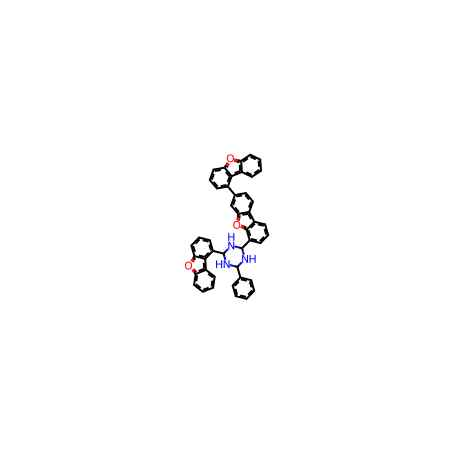 c1ccc(C2NC(c3cccc4c3oc3cc(-c5cccc6oc7ccccc7c56)ccc34)NC(c3cccc4oc5ccccc5c34)N2)cc1